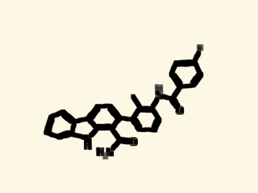 Cc1c(NC(=O)c2ccc(F)cc2)cccc1-c1ccc2c([nH]c3ccccc32)c1C(N)=O